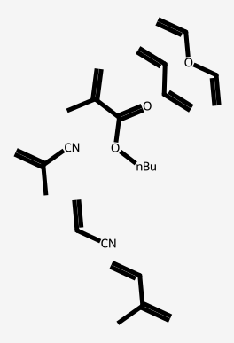 C=C(C)C#N.C=C(C)C(=O)OCCCC.C=CC#N.C=CC(=C)C.C=CC=C.C=COC=C